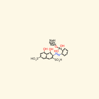 O=S(=O)(O)c1cc(O)c2c(O)c(N=Nc3ccccc3[As](=O)(O)O)c(S(=O)(=O)O)cc2c1.[NaH].[NaH].[NaH]